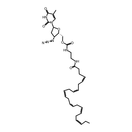 CC/C=C\C/C=C\C/C=C\C/C=C\C/C=C\C/C=C\CCC(=O)NCCNC(=O)OC[C@H]1OC(n2cc(C)c(=O)[nH]c2=O)C[C@@H]1N=[N+]=[N-]